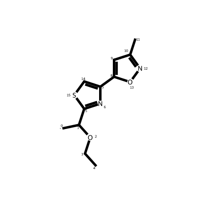 [CH2]C(OCC)c1nc(-c2cc(C)no2)cs1